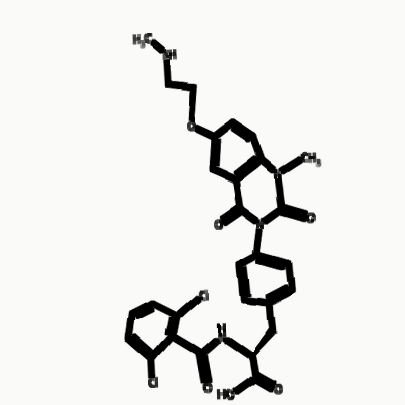 CNCCOc1ccc2c(c1)c(=O)n(-c1ccc(C[C@H](NC(=O)c3c(Cl)cccc3Cl)C(=O)O)cc1)c(=O)n2C